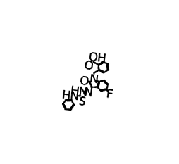 O=C(O)c1ccccc1CN1C(=O)/C(=N\NC(=S)Nc2ccccc2)c2cc(F)ccc21